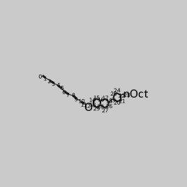 C#CC#CC#CC#CC#CC#COc1ccc2cc(-c3ccc(CCCCCCCC)cc3)ccc2c1